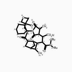 CCCCN(CCCC)C(=O)C(C(C(=O)O)C1C(=O)N(C2CCCCC2)C(=O)C1C)C1C(C)C2CC(C(=O)OCC3(CC)COC3)C1C2